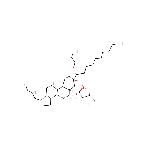 CCCCCCCCCC(OCCC)C1(OC2C[C@@H](O)[C@H](CO)O2)CC[C@]2(C)C3CC[C@@]4(C)C(CC[C@@H]4[C@H](C)CCC)C3CCC2(P(=O)(O)O)C1